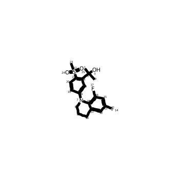 CC(C)(O)c1cc(N2CCCc3cc(F)cc(F)c32)ccc1S(C)(=O)=O